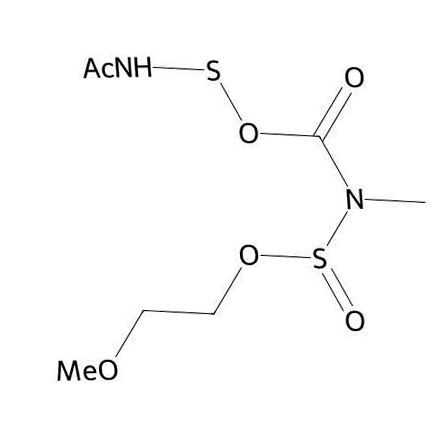 COCCOS(=O)N(C)C(=O)OSNC(C)=O